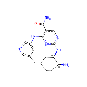 Cc1cncc(Nc2nc(N[C@@H]3CCCC[C@@H]3N)ncc2C(N)=O)c1